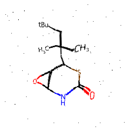 CC(C)(C)CC(C)(C)C1SC(=O)NC2OC21